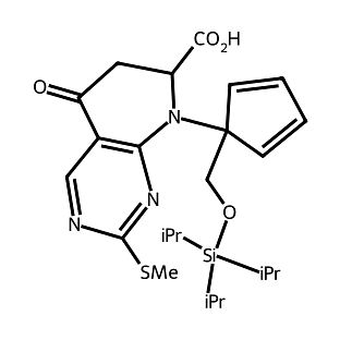 CSc1ncc2c(n1)N(C1(CO[Si](C(C)C)(C(C)C)C(C)C)C=CC=C1)C(C(=O)O)CC2=O